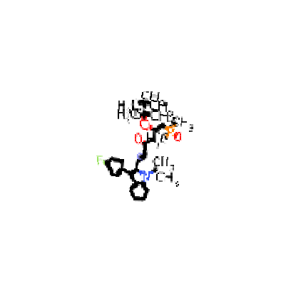 CC(C)n1c(/C=C/C(=O)C[C@H](CP(C)(C)=O)O[Si](C)(C)C(C)(C)C)c(-c2ccc(F)cc2)c2ccccc21